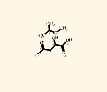 COC(C)N.O=C(O)CC(O)C(=O)O